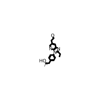 CCc1nc2cc(CC=O)cnc2n1-c1ccc(C[C@H](C)O)cc1